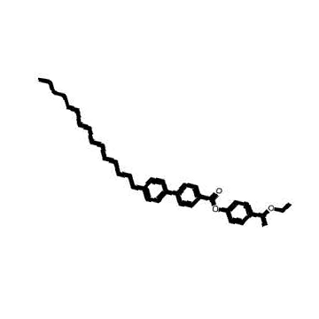 CCCCCCCCCCCCCCCc1ccc(-c2ccc(C(=O)Oc3ccc(C(C)OCC)cc3)cc2)cc1